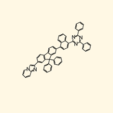 c1ccc(-c2nc(-c3ccccc3)nc(-c3ccc(-c4ccc5c(c4)C(c4ccccc4)(c4ccccc4)c4cc(-c6cn7ccccc7n6)ccc4-5)c4ccccc34)n2)cc1